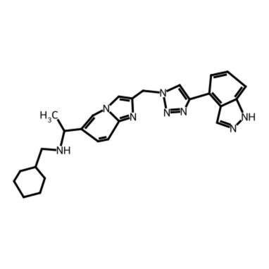 CC(NCC1CCCCC1)c1ccc2nc(Cn3cc(-c4cccc5[nH]ncc45)nn3)cn2c1